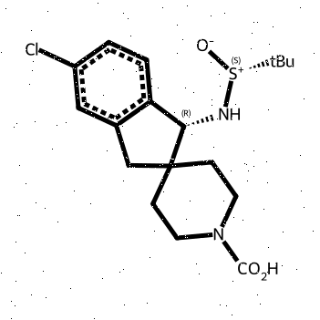 CC(C)(C)[S@@+]([O-])N[C@H]1c2ccc(Cl)cc2CC12CCN(C(=O)O)CC2